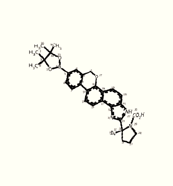 CC1(C)OB(c2ccc3c(c2)COc2c-3ccc3c2ccc2[nH]c([C@@]4(C(C)(C)C)CCCN4C(=O)O)nc23)OC1(C)C